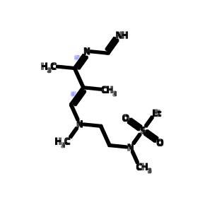 CCS(=O)(=O)N(C)CCN(C)/C=C(C)/C(C)=N\C=N